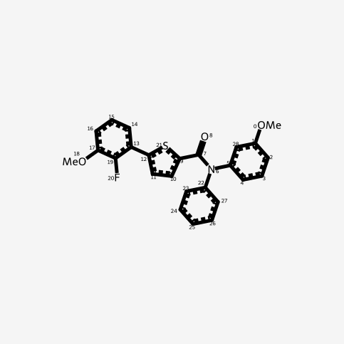 COc1cccc(N(C(=O)c2ccc(-c3cccc(OC)c3F)s2)c2ccccc2)c1